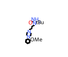 COc1ccccc1N1CCN(CCCCN(C(N)=O)C(C)(C)C)CC1